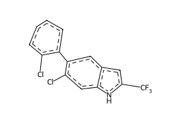 FC(F)(F)c1cc2cc(-c3ccccc3Cl)c(Cl)cc2[nH]1